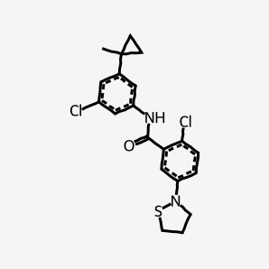 CC1(c2cc(Cl)cc(NC(=O)c3cc(N4CCCS4)ccc3Cl)c2)CC1